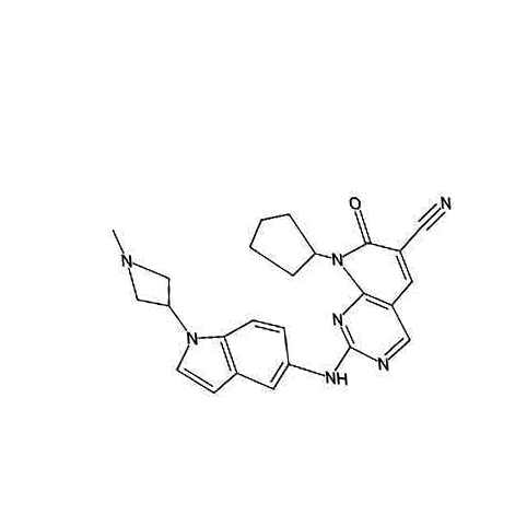 CN1CC(n2ccc3cc(Nc4ncc5cc(C#N)c(=O)n(C6CCCC6)c5n4)ccc32)C1